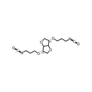 O=C=NCCCO[C@H]1COC2C1OC[C@@H]2OCCCN=C=O